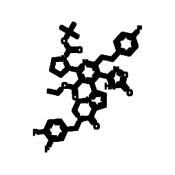 CCOC(=O)c1c(C2CCCN2C(=O)OC(C)(C)C)nc(CCc2ccc(F)cc2)c(-c2noc(=O)[nH]2)c1-c1ccc2n1CCN(Cc1ccc(F)c(F)c1)C2=O